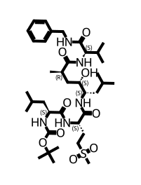 CC(C)C[C@H](NC(=O)OC(C)(C)C)C(=O)N[C@@H](CCS(C)(=O)=O)C(=O)N[C@@H](CC(C)C)[C@@H](O)C[C@@H](C)C(=O)N[C@H](C(=O)NCc1ccccc1)C(C)C